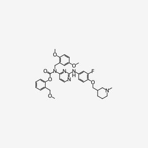 COCc1ccccc1OC(=O)N(Cc1cc(OC)ccc1OC)c1ccnc(Nc2ccc(OCC3CCCN(C)C3)c(F)c2)n1